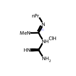 CCC/N=C(\NC)NC(=N)N.Cl